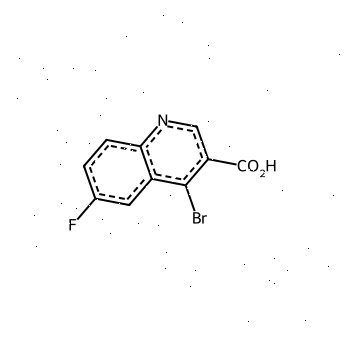 O=C(O)c1cnc2ccc(F)cc2c1Br